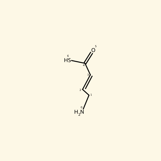 NC/C=C/C(=O)S